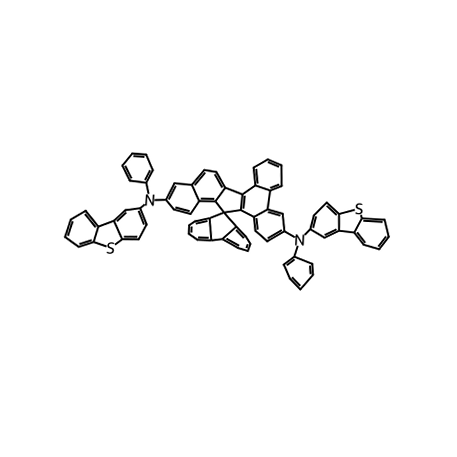 c1ccc(N(c2ccc3c4c(ccc3c2)-c2c(c3ccc(N(c5ccccc5)c5ccc6sc7ccccc7c6c5)cc3c3ccccc23)C42c3ccccc3-c3ccccc32)c2ccc3sc4ccccc4c3c2)cc1